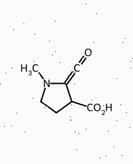 CN1CCC(C(=O)O)C1=C=O